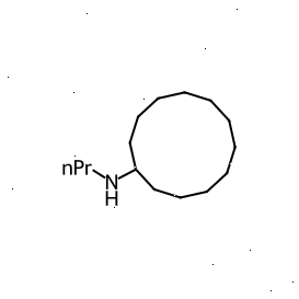 CCCNC1CCCCCCCCCCC1